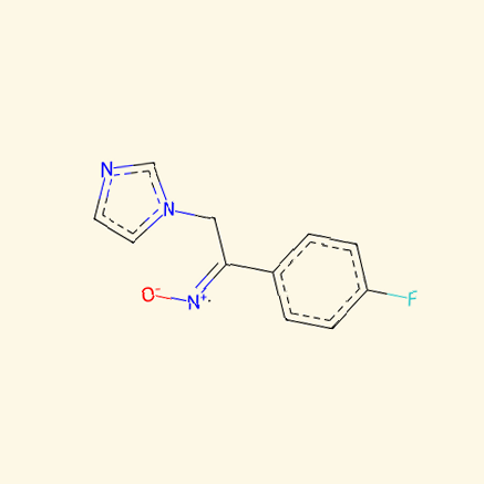 [O-][N+]=C(Cn1ccnc1)c1ccc(F)cc1